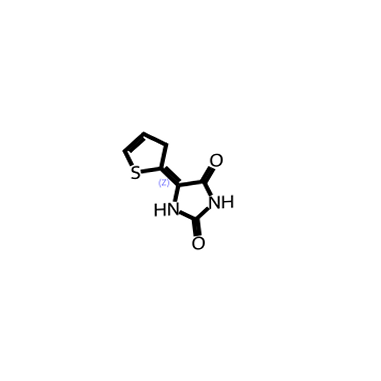 O=C1NC(=O)/C(=C2\CC=CS2)N1